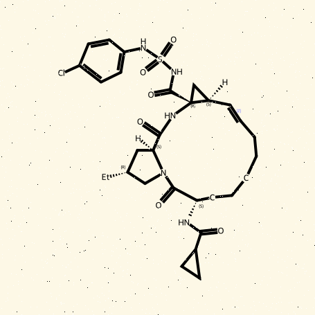 CC[C@@H]1C[C@H]2C(=O)N[C@]3(C(=O)NS(=O)(=O)Nc4ccc(Cl)cc4)C[C@H]3/C=C\CCCCC[C@H](NC(=O)C3CC3)C(=O)N2C1